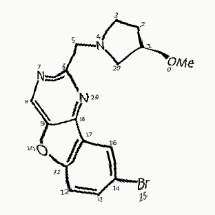 CO[C@@H]1CCN(Cc2ncc3oc4ccc(Br)cc4c3n2)C1